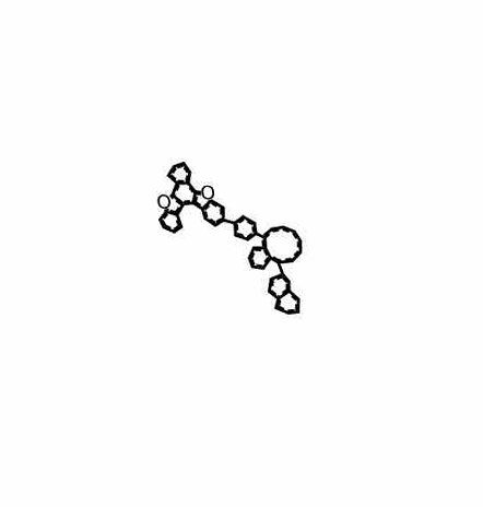 c1cccc(-c2ccc3ccccc3c2)c2ccccc2c(-c2ccc(-c3ccc4c(c3)oc3c5ccccc5c5oc6ccccc6c5c43)cc2)cc1